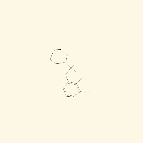 CCC(N)(Cc1cccc(OCC(C)C)c1C)N1CCNCC1